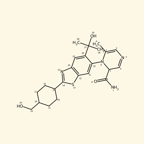 CC1=CN=CC(C(N)=O)N1c1cc2sc(C3CCC(CO)CC3)nc2cc1C(C)(C)O